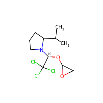 CC(C)C1CCCN1[C@H](OC1CO1)C(Cl)(Cl)Cl